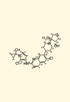 CC1(n2ncc(Nc3ncc4cc(Cl)c(C5CCN([C@]6(C)COC[C@@H]6O)CC5)cc4n3)c2Cl)CC1